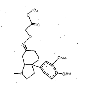 COc1ccc(C23CC/C(=N\OCC(=O)OC(C)(C)C)CC2N(C)CC3)cc1OC